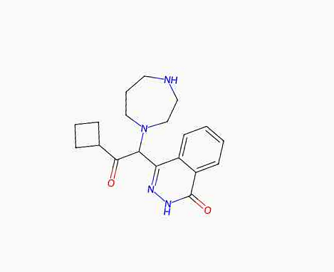 O=C(C1CCC1)C(c1n[nH]c(=O)c2ccccc12)N1CCCNCC1